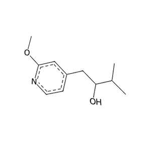 COc1cc(CC(O)C(C)C)ccn1